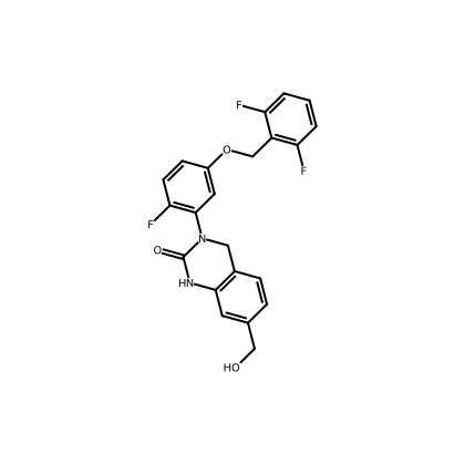 O=C1Nc2cc(CO)ccc2CN1c1cc(OCc2c(F)cccc2F)ccc1F